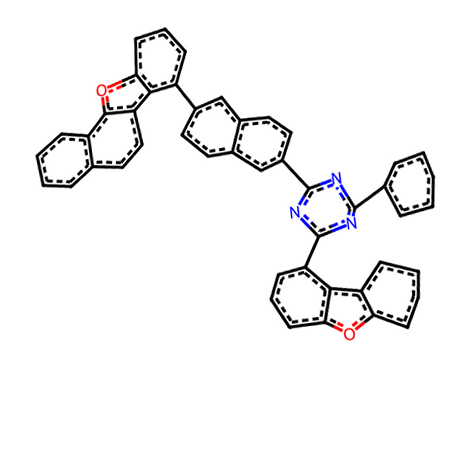 c1ccc(-c2nc(-c3ccc4cc(-c5cccc6oc7c8ccccc8ccc7c56)ccc4c3)nc(-c3cccc4oc5ccccc5c34)n2)cc1